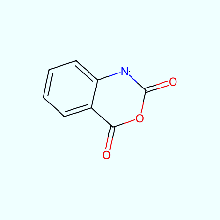 O=C1[N]c2ccccc2C(=O)O1